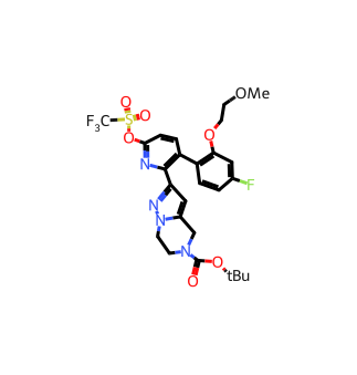 COCCOc1cc(F)ccc1-c1ccc(OS(=O)(=O)C(F)(F)F)nc1-c1cc2n(n1)CCN(C(=O)OC(C)(C)C)C2